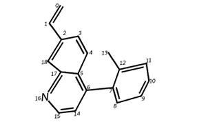 C=Cc1ccc2c(-c3ccccc3C)ccnc2c1